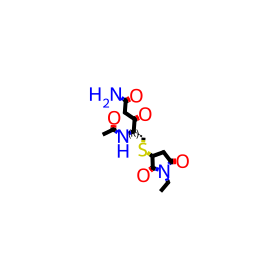 CCN1C(=O)CC(SC[C@H](NC(C)=O)C(=O)CC(N)=O)C1=O